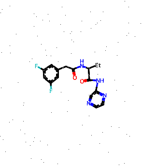 CCC(NC(=O)Cc1cc(F)cc(F)c1)C(=O)Nc1cnccn1